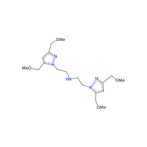 COCc1cc(COC)n(CCNCCn2nc(COC)cc2COC)n1